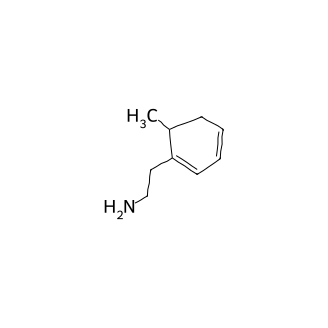 CC1CC=CC=C1CCN